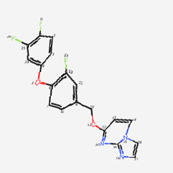 Fc1ccc(Oc2ccc(COc3ccn4ccnc4n3)cc2F)cc1F